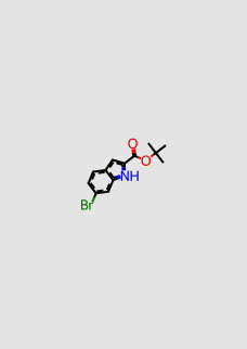 CC(C)(C)OC(=O)c1cc2ccc(Br)cc2[nH]1